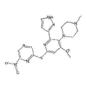 COc1cc(Sc2cncc([N+](=O)[O-])n2)nc(-c2cc[nH]n2)c1N1CCN(C)CC1